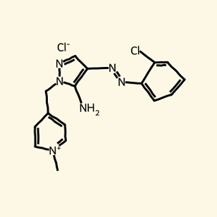 C[n+]1ccc(Cn2ncc(N=Nc3ccccc3Cl)c2N)cc1.[Cl-]